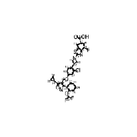 O=C(O)c1cc(F)c2nc(N3CC(c4ccc(OCc5c(-c6ccccc6OC(F)F)noc5C5CC5)cc4Cl)C3)sc2c1